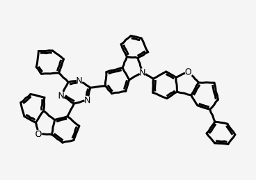 c1ccc(-c2ccc3oc4cc(-n5c6ccccc6c6cc(-c7nc(-c8ccccc8)nc(-c8cccc9oc%10ccccc%10c89)n7)ccc65)ccc4c3c2)cc1